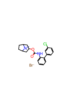 C[N+]1(C)C2CCC1CC(OC(=O)Nc1ccccc1-c1cccc(Cl)c1)C2.[Br-]